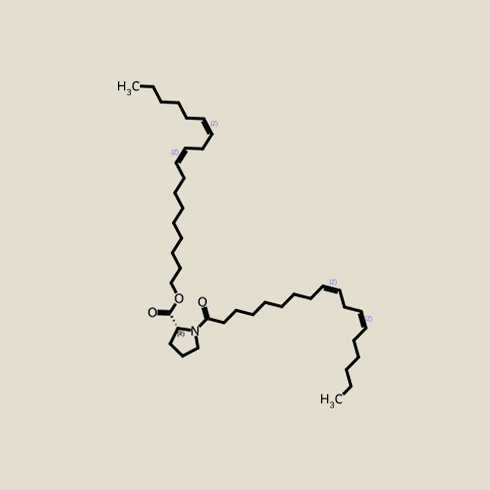 CCCCC/C=C\C/C=C\CCCCCCCCOC(=O)[C@H]1CCCN1C(=O)CCCCCCC/C=C\C/C=C\CCCCC